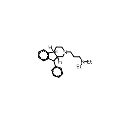 CCN(CC)CCCN1CC[C@H]2c3ccccc3C(c3ccccc3)[C@H]2C1